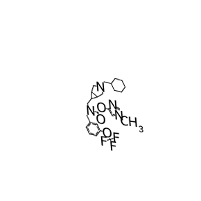 Cn1cnc(OC(=O)N(Cc2cccc(OC(F)(F)F)c2)CC2C3CN(CC4CCCCC4)CC32)c1